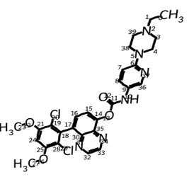 CCN1CCN(c2ccc(NC(=O)Oc3ccc(-c4c(Cl)c(OC)cc(OC)c4Cl)c4nccnc34)cn2)CC1